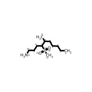 CCCCCC(C)C(CCCN)S(C)(=O)=O